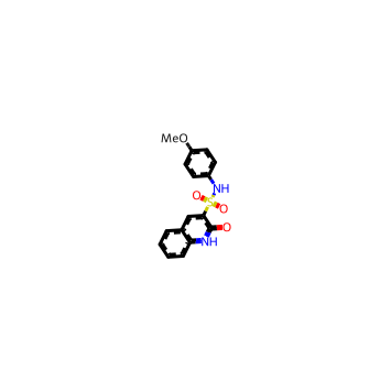 COc1ccc(NS(=O)(=O)c2cc3ccccc3[nH]c2=O)cc1